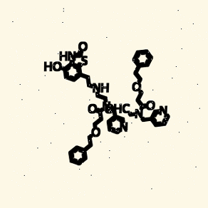 O=C(CCOCCc1ccccc1)N(CCNCCc1ccc(O)c2[nH]c(=O)sc12)Cc1cccnc1.O=CCN(Cc1cccnc1)C(=O)CCOCCc1ccccc1